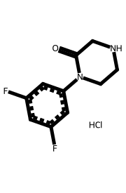 Cl.O=C1CNCCN1c1cc(F)cc(F)c1